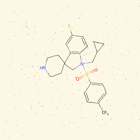 O=S(=O)(c1ccc(C(F)(F)F)cc1)[N+]1(CC2CC2)CC2(CCNCC2)c2cc(F)ccc21